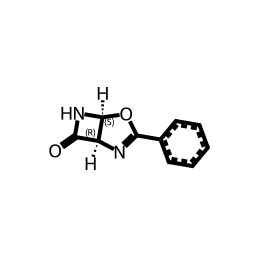 O=C1N[C@H]2OC(c3ccccc3)=N[C@@H]12